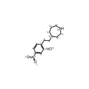 Cl.O=[N+]([O-])c1ccc(CCN2CCCNCC2)cc1